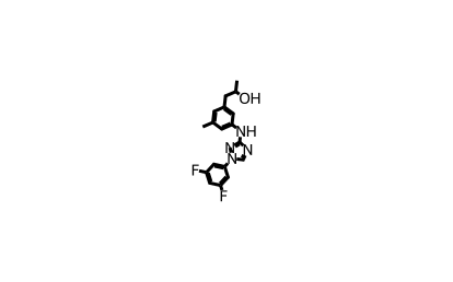 Cc1cc(CC(C)O)cc(Nc2ncn(-c3cc(F)cc(F)c3)n2)c1